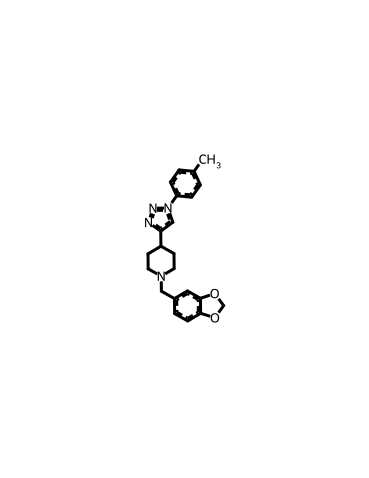 Cc1ccc(-n2cc(C3CCN(Cc4ccc5c(c4)OCO5)CC3)nn2)cc1